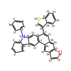 c1ccc(-n2c3ccccc3c3cc4c(cc32)c(-c2csc3ccccc23)cc2cc3occc3cc24)cc1